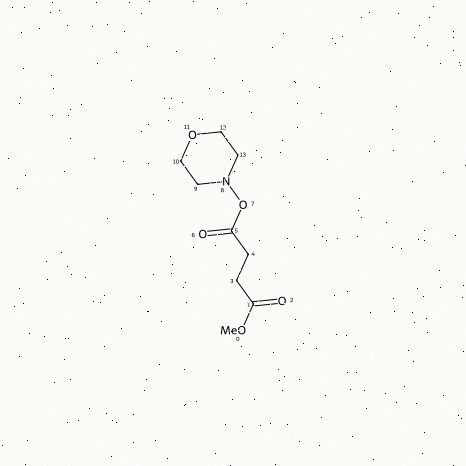 COC(=O)CCC(=O)ON1CCOCC1